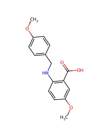 COc1ccc(CNc2ccc(OC)cc2C(=O)O)cc1